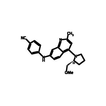 COC[C@H]1CCCN1c1cc(C)nc2cc(Nc3ccc(C#N)cc3)ccc12